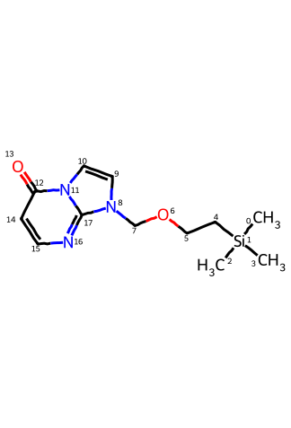 C[Si](C)(C)CCOCn1ccn2c(=O)ccnc12